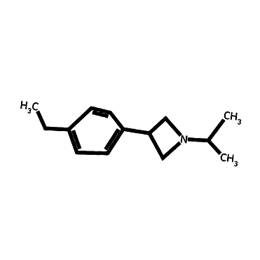 CCc1ccc(C2CN(C(C)C)C2)cc1